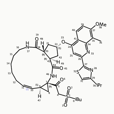 CCC(C)S(=O)(=O)CC(=O)[C@@]12C[C@H]1/C=C\CCCCCNC(=O)[C@@H]1C[C@H](Oc3cc(-c4nc(C(C)C)cs4)nc4c(C)c(OC)ccc34)C[C@H]1C(=O)N2